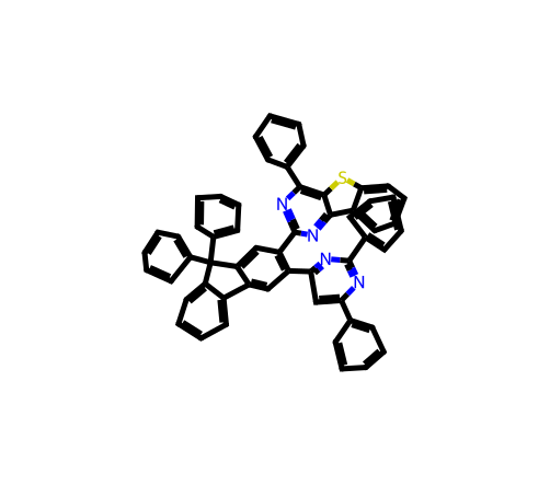 c1ccc(-c2cc(-c3cc4c(cc3-c3nc(-c5ccccc5)c5sc6ccccc6c5n3)C(c3ccccc3)(c3ccccc3)c3ccccc3-4)nc(-c3ccccc3)n2)cc1